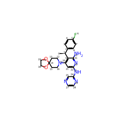 C[C@@H](c1ccc(F)cc1)c1c(N2CCC3(CC2)OCCO3)cc(Nc2cnccn2)nc1N